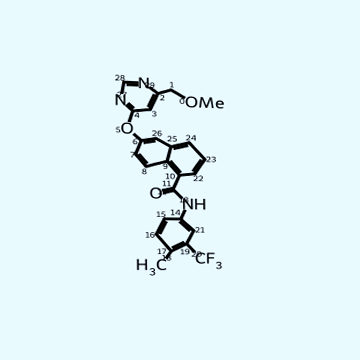 COCc1cc(Oc2ccc3c(C(=O)Nc4ccc(C)c(C(F)(F)F)c4)cccc3c2)ncn1